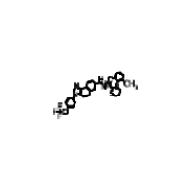 Cc1cccc(C)c1N1CCCSC1=NN=Cc1ccc2c(ccc3c2ncn3-c2ccc(OC(F)(F)F)cc2)c1